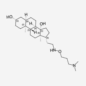 CN(C)CCCONCC[C@H]1CC[C@]2(O)[C@@H]3CC[C@@H]4C[C@@H](O)CC[C@]4(C)[C@H]3CC[C@]12C